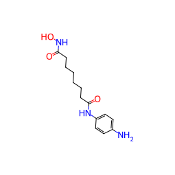 Nc1ccc(NC(=O)CCCCCCC(=O)NO)cc1